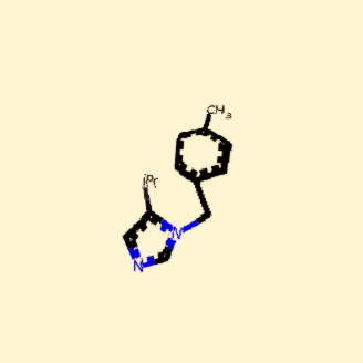 Cc1ccc(Cn2cncc2C(C)C)cc1